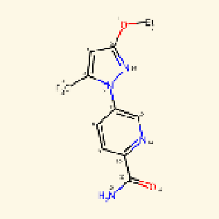 CCOc1cc(C(F)(F)F)n(-c2ccc(C(N)=O)nc2)n1